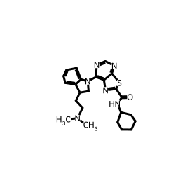 CN(C)CCC1CN(c2ncnc3sc(C(=O)NC4CCCCC4)nc23)c2ccccc21